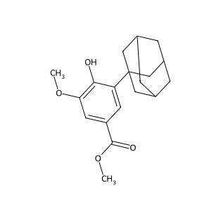 COC(=O)c1cc(OC)c(O)c(C23CC4CC(CC(C4)C2)C3)c1